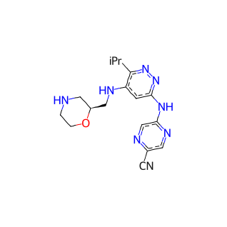 CC(C)c1nnc(Nc2cnc(C#N)cn2)cc1NC[C@@H]1CNCCO1